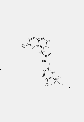 O=C(NCc1ccc(Cl)c(C(F)(F)F)c1)Nc1cccc2ccc(O)cc12